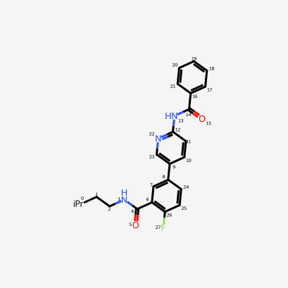 CC(C)CCNC(=O)c1cc(-c2ccc(NC(=O)c3ccccc3)nc2)ccc1F